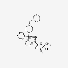 CC(C)(C)OC(=O)N[C@H]1CCC[C@H]1[C@](C#N)(c1ccccc1)C1CCN(Cc2ccccc2)CC1